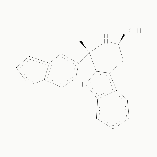 C[C@@]1(c2ccc3occc3c2)N[C@@H](C(=O)O)Cc2c1[nH]c1ccccc21